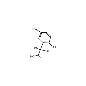 CC(O)C(O)(S)c1cc(S)ccc1O